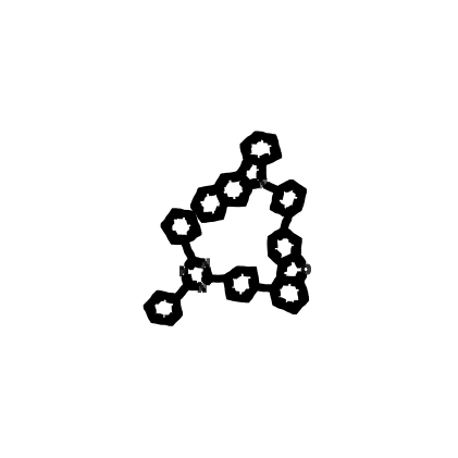 c1ccc(-c2nc(-c3ccccc3)nc(-c3ccc(-c4cccc5oc6cc(-c7cccc(-n8c9ccccc9c9cc%10ccccc%10cc98)c7)ccc6c45)cc3)n2)cc1